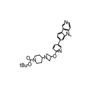 Cn1c2ccncc2c2ccc(-c3ccc(OC4CN(C5CCN(C(=O)OC(C)(C)C)CC5)C4)nc3)cc21